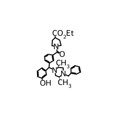 CCOC(=O)C1CCN(C(=O)c2cccc(C(c3cccc(O)c3)N3C[C@@H](C)N(Cc4ccccc4)C[C@H]3C)c2)CC1